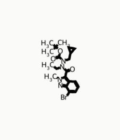 CCN(C(=O)c1c2cccc(Br)c2nn1C)N(CC1CC1)C(=O)OC(C)(C)C